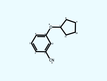 N#Cc1cccc(OC2CCCC2)c1